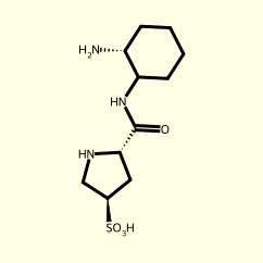 N[C@@H]1CCCCC1NC(=O)[C@@H]1C[C@@H](S(=O)(=O)O)CN1